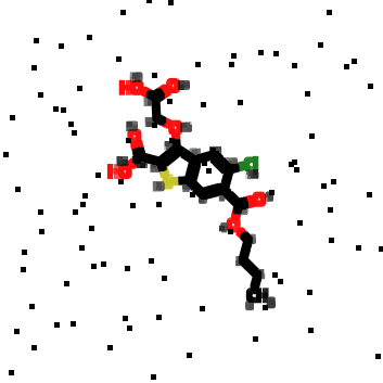 CCCCOC(=O)c1cc2sc(C(=O)O)c(OCC(=O)O)c2cc1Cl